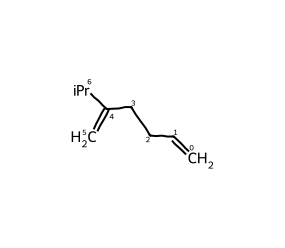 C=CCCC(=C)C(C)C